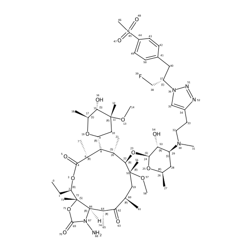 CC[C@H]1OC(=O)[C@H](C)C([C@H]2C[C@@](C)(OC)[C@@H](O)[C@H](C)O2)[C@H](C)[C@@H](O[C@@H]2O[C@H](C)C[C@H](N(C)CCc3cn([C@H](CF)Cc4ccc(S(C)(=O)=O)cc4)nn3)[C@H]2O)[C@](C)(OC)C[C@@H](C)C(=O)[C@H](C)[C@H]2N(N)C(=O)O[C@]12C